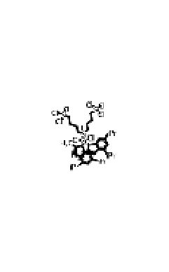 CC1=Cc2c(C(C)C)cc(C(C)C)cc2[CH]1[Zr]([Cl])([Cl])([CH]1C(C)=Cc2c(C(C)C)cc(C(C)C)cc21)[SiH](CCCC[Si](Cl)(Cl)Cl)CCCC[Si](Cl)(Cl)Cl